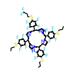 CCCSc1c(F)c(F)c(-c2c3nc(c(-c4c(F)c(F)c(SCCC)c(F)c4F)c4ccc([nH]4)c(-c4c(F)c(F)c(SCCC(F)F)c(F)c4F)c4nc(c(-c5c(F)c(F)c(SCCC)c(F)c5F)c5ccc2[nH]5)C=C4)C=C3)c(F)c1F